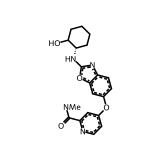 CNC(=O)c1cc(Oc2ccc3nc(N[C@H]4CCCCC4O)oc3c2)ccn1